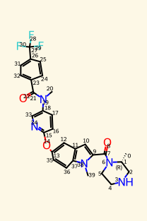 C[C@@H]1CNCCN1C(=O)c1cc2cc(Oc3ccc(N(C)C(=O)c4ccc(C(F)(F)F)cc4)cn3)ccc2n1C